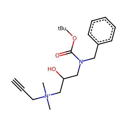 C#CC[N+](C)(C)CC(O)CN(Cc1ccccc1)C(=O)OC(C)(C)C